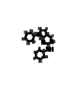 c1ccc(Nc2ncc3ccn(-c4ccccc4)c3n2)cc1